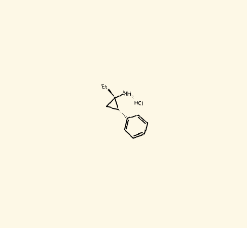 CC[C@]1(N)C[C@H]1c1ccccc1.Cl